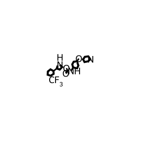 O=C(Nc1ccc(Oc2ccncc2)cc1)Oc1cc(-c2cccc(C(F)(F)F)c2)c[nH]1